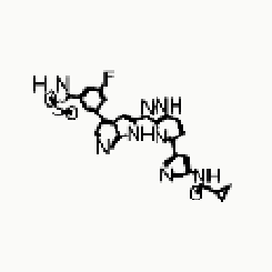 CS(=O)(=O)C(N)c1cc(F)cc(-c2cncc3[nH]c(-c4n[nH]c5ccc(-c6cncc(NC(=O)C7CC7)c6)nc45)cc23)c1